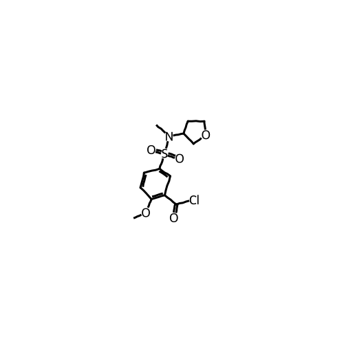 COc1ccc(S(=O)(=O)N(C)C2CCOC2)cc1C(=O)Cl